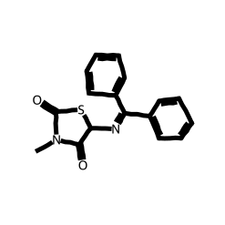 CN1C(=O)SC(N=C(c2ccccc2)c2ccccc2)C1=O